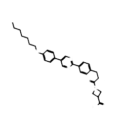 CCCCCCCOc1ccc(-c2cnc(-c3ccc(C[C@H](C)C(=O)N4CC(C(=O)O)C4)cc3)nc2)cc1